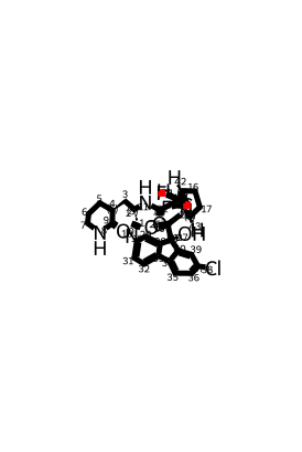 N#C[C@H](C[C@@H]1CCCNC1=O)NC(=O)[C@@H]1[C@@H]2CC[C@@H](CC2(F)F)N1C(=O)[C@@]1(O)c2ccccc2-c2ccc(Cl)cc21